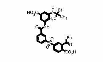 CCC(C)(C)Nc1cc(NC(=O)c2cccc(S(=O)(=O)c3ccc(C(=O)O)c(C(=O)C(C)(C)C)c3)c2)cc(C(=O)O)c1